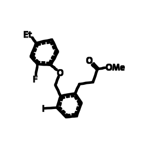 CCc1ccc(OCc2c(I)cccc2CCC(=O)OC)c(F)c1